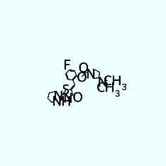 CN(C)C1CCN(C(=O)Oc2cc(F)ccc2/C=C2\SC(N3CCCCN3)=NC2=O)C1